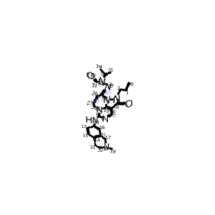 C=CCn1c(=O)c2cnc(Nc3ccc4c(c3)CN(C)CC4)nc2n1C(/C=C\C)=N/N(C=O)C(C)C